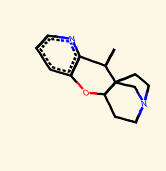 CC1c2ncccc2OC2CCN3CCC21C3